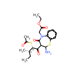 CCOC(=O)CN1C(=O)C(C(=O)[C@@H](SC(C)=O)[C@@H](C)CC)C(N)Sc2ccccc21